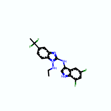 CCNn1c(Nc2c[nH]c3c(F)cc(F)cc23)nc2cc(C(C)(F)F)ccc21